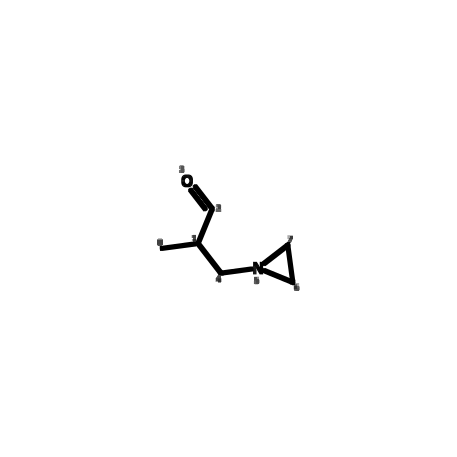 CC(C=O)CN1CC1